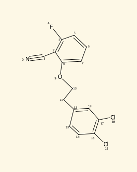 N#Cc1c(F)cccc1OCCc1ccc(Cl)c(Cl)c1